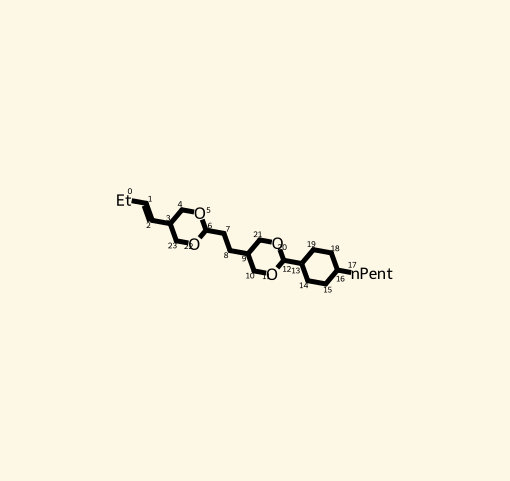 CCC=CC1COC(CCC2COC(C3CCC(CCCCC)CC3)OC2)OC1